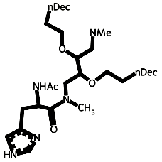 CCCCCCCCCCCCOC(CNC)C(CN(C)C(=O)C(Cc1c[nH]cn1)NC(C)=O)OCCCCCCCCCCCC